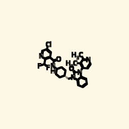 Cc1nccc(-n2c(=O)n(C[C@H]3CC[C@H](NC(=O)c4cc(Cl)cnc4C(F)F)CC3)c3ccccc32)c1C